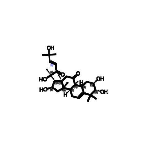 CC(C)(O)/C=C/C(=O)[C@](C)(O)[C@H]1[C@H](O)C[C@@]2(C)[C@@H]3CC=C4[C@@H](C[C@H](O)[C@H](O)C4(C)C)[C@]3(C)C(=O)C[C@]12C